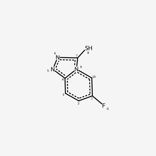 Fc1ccc2nnc(S)n2c1